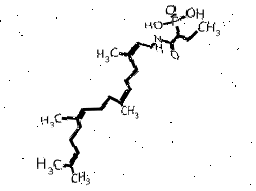 CCC(C(=O)NCC=C(C)CCC=C(C)CCC=C(C)CCC=C(C)C)P(=O)(O)O